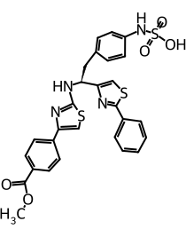 COC(=O)c1ccc(-c2csc(N[C@@H](Cc3ccc(NS(=O)(=O)O)cc3)c3csc(-c4ccccc4)n3)n2)cc1